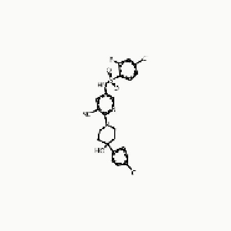 N#Cc1cc(NS(=O)(=O)c2ccc(Cl)cc2F)cnc1N1CCC(O)(c2ccc(Cl)cc2)CC1